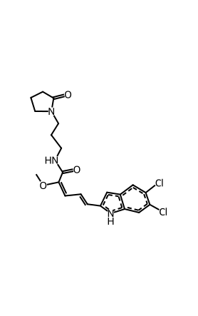 CO/C(=C/C=C/c1cc2cc(Cl)c(Cl)cc2[nH]1)C(=O)NCCCN1CCCC1=O